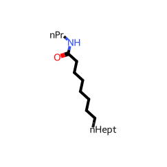 [CH2]CCNC(=O)CCCCCCCCCCCCCC